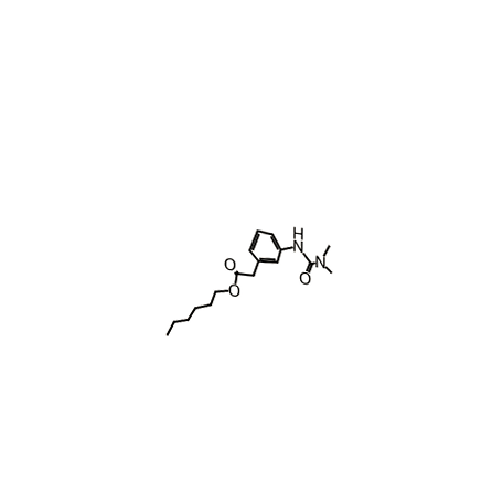 CCCCCCOC(=O)Cc1cccc(NC(=O)N(C)C)c1